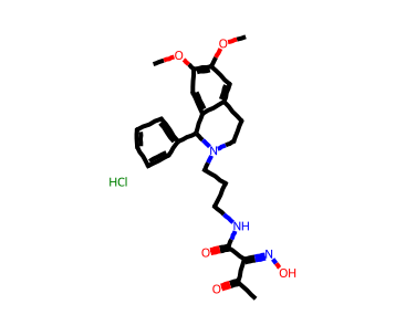 COc1cc2c(cc1OC)C(c1ccccc1)N(CCCNC(=O)C(=NO)C(C)=O)CC2.Cl